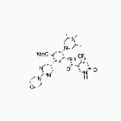 COc1cc(N2CC(C)N(C)C(C)C2)c(NC(=O)c2c[nH]c(=O)cc2C(F)(F)F)cc1-c1cnc(N2CCOCC2)nc1